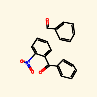 O=C(c1ccccc1)c1ccccc1[N+](=O)[O-].O=Cc1ccccc1